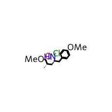 COC(=O)[C@@H](C)C[C@H](Cc1ccc(OC)cc1)NCl